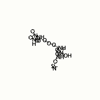 Cc1ncsc1-c1ccc(CNC(=O)[C@@H]2C[C@@H](O)CN2C(=O)[C@@H](NC(=O)CCOCCOCCOCCC(=O)NC2=NC(c3ccccc3)c3ccccc3NC2=O)C(C)(C)C)cc1